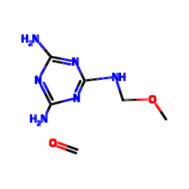 C=O.COCNc1nc(N)nc(N)n1